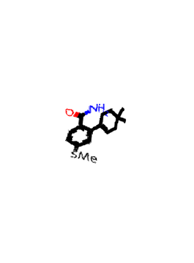 CSc1ccc(C(N)=O)c(C2=CCC(C)(C)CC2)c1